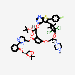 Cc1c(Cl)c2c(Cl)c(C)c1-c1c(-c3ccc(F)cc3)sc3ncnc(c13)O[C@@H](C(=O)OC(C)(C)C)Cc1cc(ccc1OCc1ccnc(-c3ccccc3OC[C@H]3COC(C)(C)O3)n1)OC[C@@H](CN1CCN(C)CC1)O2